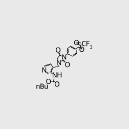 CCCCOC(=O)Nc1cnccc1CN1CC(=O)N(c2ccc(S(=O)(=O)C(F)(F)F)cc2)C1=O